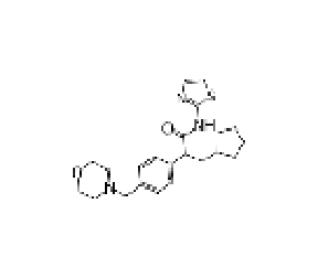 O=C(Nc1nccs1)C(CC1CCCC1)c1ccc(CN2CCOCC2)cc1